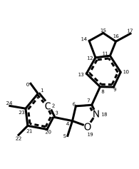 Cc1cc(C2(C)CC(c3ccc4c(c3)CCC4C)=NO2)cc(C)c1C